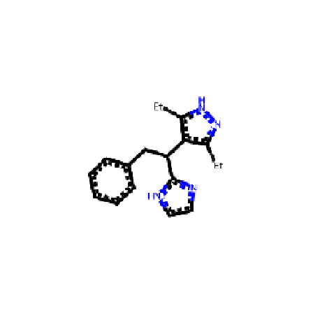 CCc1n[nH]c(CC)c1C(Cc1ccccc1)c1ncc[nH]1